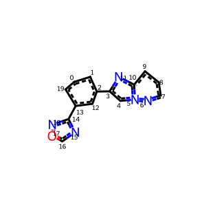 c1cc(-c2cn3ncccc3n2)cc(-c2ncon2)c1